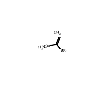 C=C(C(C)(C)C)C(C)(C)C.N.N